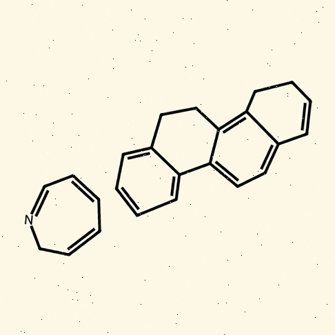 C1=CC=NCC=C1.C1=Cc2ccc3c(c2CC1)CCc1ccccc1-3